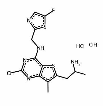 Cc1c(CC(C)N)sc2c(NCc3ncc(F)s3)nc(Cl)nc12.Cl.Cl